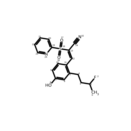 CC(F)CCc1cc(O)ccc1C=C(C#N)S(=O)(=O)c1ccccn1